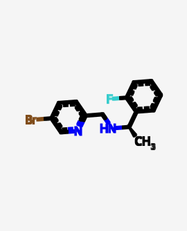 C[C@@H](NCc1ccc(Br)cn1)c1ccccc1F